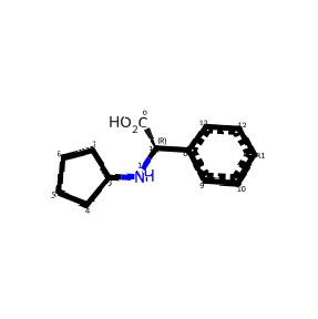 O=C(O)[C@H](NC1CCCC1)c1ccccc1